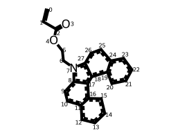 C=CC(=O)OCCn1c2ccc3ccccc3c2c2c3ccccc3ccc21